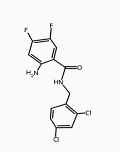 Nc1cc(F)c(F)cc1C(=O)NCc1ccc(Cl)cc1Cl